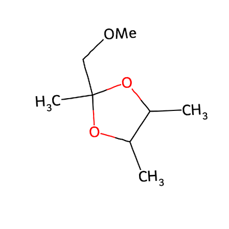 COCC1(C)OC(C)C(C)O1